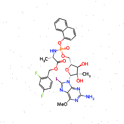 COc1nc(N)nc2c1nc(I)n2[C@@H]1O[C@H](COP(=O)(N[C@@H](C)C(=O)OCc2ccc(F)cc2F)Oc2cccc3ccccc23)[C@@H](O)[C@@]1(C)O